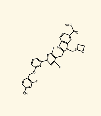 COC(=O)c1ccc2nc(Cc3c(F)cc(-c4cccc(OCc5ccc(C#N)cc5F)n4)cc3F)n(C[C@@H]3CCO3)c2c1